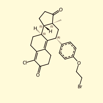 C[C@]12C[C@H](c3ccc(OCCBr)cc3)C3=C4CCC(=O)C(Cl)=C4CC[C@H]3[C@@H]1CCC2=O